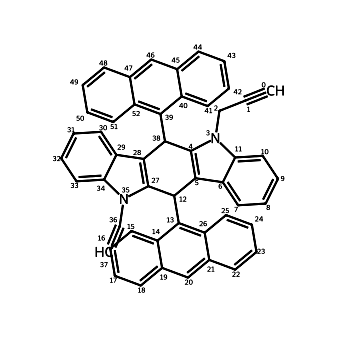 C#CCn1c2c(c3ccccc31)C(c1c3ccccc3cc3ccccc13)c1c(c3ccccc3n1C#C)C2c1c2ccccc2cc2ccccc12